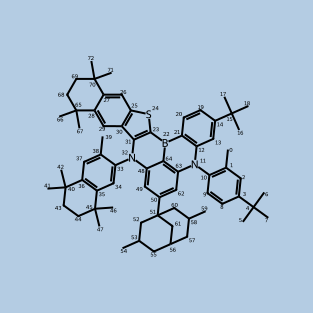 Cc1cc(C(C)(C)C)ccc1N1c2cc(C(C)(C)C)ccc2B2c3sc4cc5c(cc4c3N(c3cc4c(cc3C)C(C)(C)CCC4(C)C)c3cc(C46CC(C)CC(CC(C)C4)C6)cc1c32)C(C)(C)CCC5(C)C